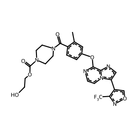 Cc1cc(Oc2nccn3c(-c4conc4C(F)(F)F)cnc23)ccc1C(=O)N1CCN(C(=O)OCCO)CC1